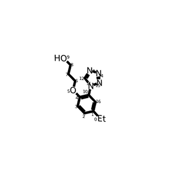 CCc1ccc(OCCCO)c(-n2cnnn2)c1